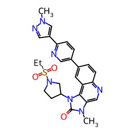 CCS(=O)(=O)N1CCC(n2c(=O)n(C)c3cnc4ccc(-c5ccc(-c6cnn(C)c6)nc5)cc4c32)C1